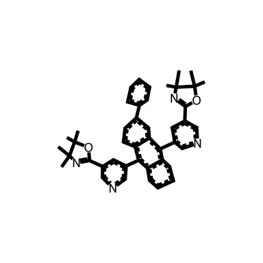 CC1(C)N=C(c2cncc(-c3c4ccccc4c(-c4cncc(C5=NC(C)(C)C(C)(C)O5)c4)c4cc(-c5ccccc5)ccc34)c2)OC1(C)C